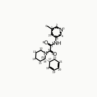 Cc1cncc(NC(=O)C(=O)N2CCCC[C@H]2C2C=CC=CC2)c1